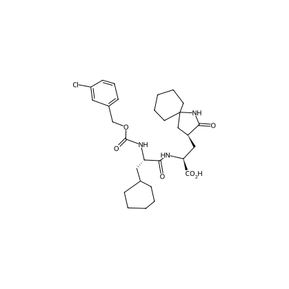 O=C(N[C@@H](CC1CCCCC1)C(=O)N[C@@H](C[C@H]1CC2(CCCCC2)NC1=O)C(=O)O)OCc1cccc(Cl)c1